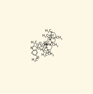 COc1ccc2c(c1)C(OC)(OC(=O)C1(O)CCC(C)(C)[C@@H]3CC[C@]4(C)[C@H](CC[C@@H]5[C@@H]6[C@@H](C)[C@H](C)CC[C@]6(C)CC[C@]54C)[C@]31C)C=N2